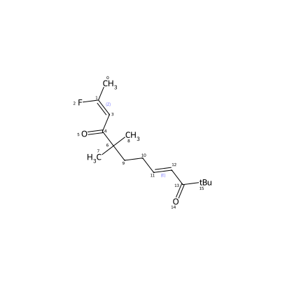 C/C(F)=C/C(=O)C(C)(C)CC/C=C/C(=O)C(C)(C)C